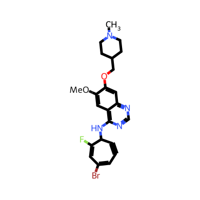 COc1cc2c(NC3C#CC=C(Br)C=C3F)ncnc2cc1OCC1CCN(C)CC1